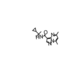 Cc1cc(C)n2ncc(C(=O)NC(C)(C)C3CC3)c2n1